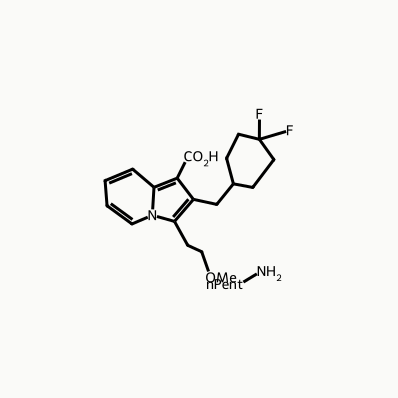 CCCCCN.COCCc1c(CC2CCC(F)(F)CC2)c(C(=O)O)c2ccccn12